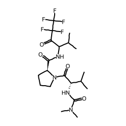 CC(C)C(NC(=O)[C@@H]1CCCN1C(=O)[C@@H](NC(=O)N(C)C)C(C)C)C(=O)C(F)(F)C(F)(F)F